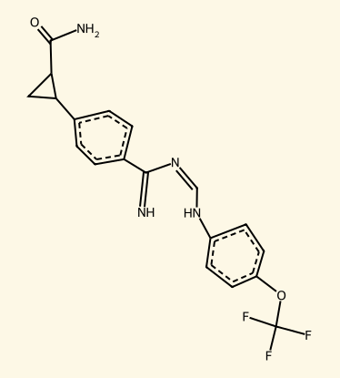 N=C(/N=C\Nc1ccc(OC(F)(F)F)cc1)c1ccc(C2CC2C(N)=O)cc1